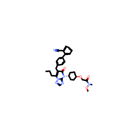 CCCc1c(Cc2ccc(-c3ccccc3C#N)cc2)c(=O)n([C@H]2CC[C@H](OCC(=O)N(C)OC)CC2)c2ncnn12